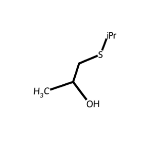 CC(O)CSC(C)C